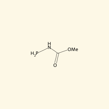 COC(=O)NP